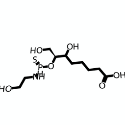 O=C(O)CCCCC(O)[C@H](CO)O[PH](=S)NCCO